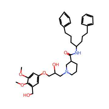 COc1cc(OCC(O)CN2CCCC(C(=O)NC(CCCc3ccccc3)CCCc3ccccc3)C2)cc(CO)c1OC